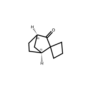 O=C1[C@@H]2CC[C@@H](C2)C12CCC2